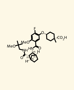 COc1cc(F)c(O[C@H]2CC[C@@](C)(C(=O)O)CC2)cc1C(=O)N[C@@H]1[C@H]2CC[C@H](C2)[C@@H]1C(=O)NCC(C)(C)OC